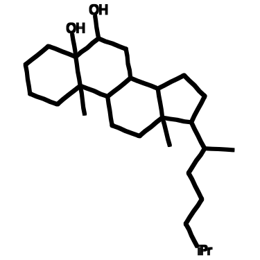 CC(C)CCCC(C)C1CCC2C3CC(O)C4(O)CCCCC4(C)C3CCC12C